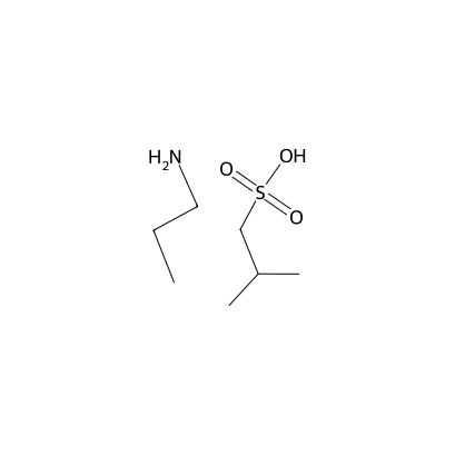 CC(C)CS(=O)(=O)O.CCCN